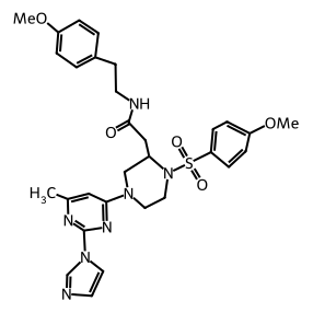 COc1ccc(CCNC(=O)CC2CN(c3cc(C)nc(-n4ccnc4)n3)CCN2S(=O)(=O)c2ccc(OC)cc2)cc1